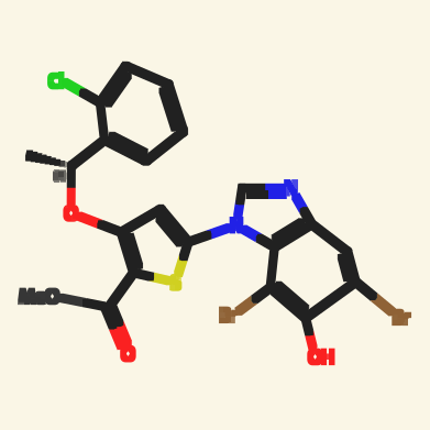 COC(=O)c1sc(-n2cnc3cc(Br)c(O)c(Br)c32)cc1O[C@H](C)c1ccccc1Cl